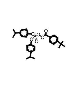 CC(C)c1ccc(OP(=O)(OOC(=O)c2ccc(C(C)(C)C)cc2)Oc2ccc(C(C)C)cc2)cc1